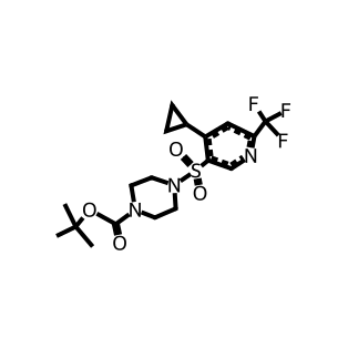 CC(C)(C)OC(=O)N1CCN(S(=O)(=O)c2cnc(C(F)(F)F)cc2C2CC2)CC1